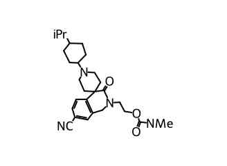 CNC(=O)OCCN1Cc2cc(C#N)ccc2C2(CCN(C3CCC(C(C)C)CC3)CC2)C1=O